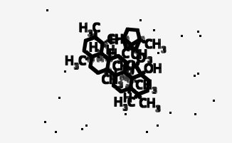 C[C@@H]1[C@H]2[C@H]3CC[C@@H]4[C@]5(C)[C@@H](CC[C@@]4(C)[C@]3(C)CC[C@@]2(C)CC[C@H]1C)C(C)(C)CCC5(O)C(=O)O[C@H]1C[C@H]2CC[C@@]1(C)C2(C)C